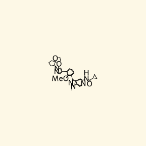 COc1c(-c2cnn([C@@H]3CCCC34OCCO4)c2)cccc1-c1nn(C)c2cnc(NC(=O)C3CC3)cc12